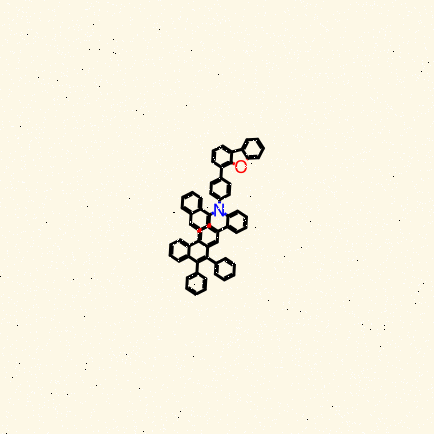 c1ccc(-c2c(-c3ccccc3)c3cc(-c4ccccc4N(c4ccc(-c5cccc6c5oc5ccccc56)cc4)c4cccc5ccccc45)ccc3c3ccccc23)cc1